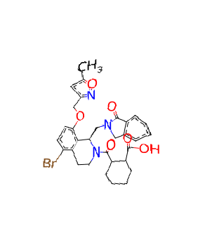 Cc1cc(COc2ccc(Br)c3c2[C@@H](CN2Cc4ccccc4C2=O)N(C(=O)C2CCCCC2C(=O)O)CC3)no1